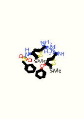 CSc1sc(C(=N)N)cc1NS(=O)(=O)Cc1ccccc1.CSc1sc(C(=N)N)cc1Oc1ccccc1